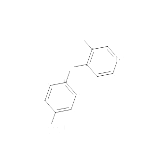 O=Cc1cnccc1Sc1ccc(C(=O)O)cc1